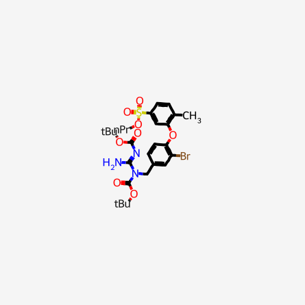 CCCOS(=O)(=O)c1ccc(C)c(Oc2ccc(CN(C(=O)OC(C)(C)C)C(N)=NC(=O)OC(C)(C)C)cc2Br)c1